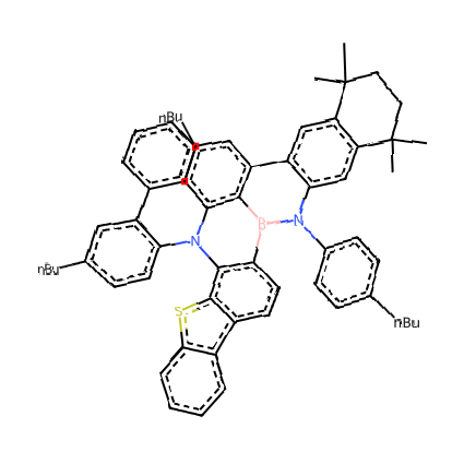 CCCCc1ccc(N2B3c4ccc5c(sc6ccccc65)c4N(c4ccc(CCCC)cc4-c4ccccc4)c4cc(CCCC)cc(c43)-c3cc4c(cc32)C(C)(C)CCC4(C)C)cc1